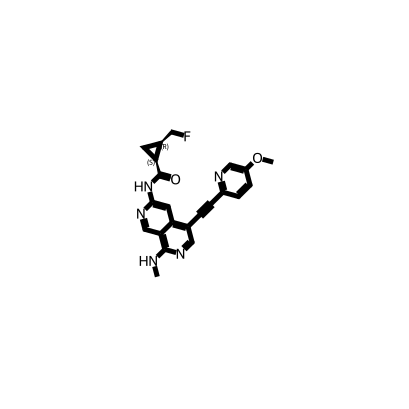 CNc1ncc(C#Cc2ccc(OC)cn2)c2cc(NC(=O)[C@H]3C[C@H]3CF)ncc12